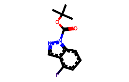 CC(C)(C)OC(=O)n1ncc2c(I)cccc21